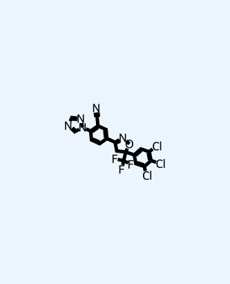 N#Cc1cc(C2=NOC(c3cc(Cl)c(Cl)c(Cl)c3)(C(F)(F)F)C2)ccc1-n1cncn1